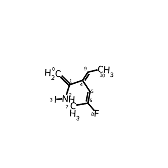 C=C(NI)C(/C=C(\C)F)=C/C